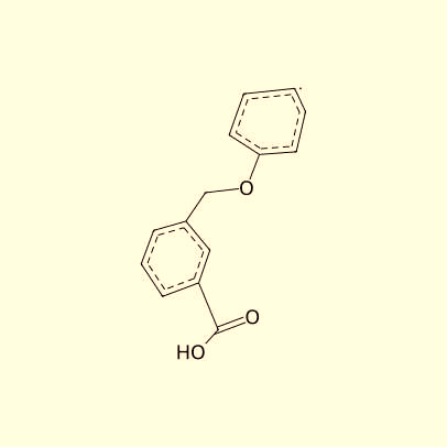 O=C(O)c1cccc(COc2cc[c]cc2)c1